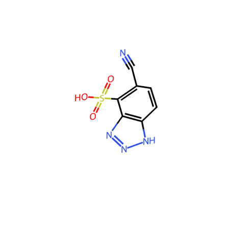 N#Cc1ccc2[nH]nnc2c1S(=O)(=O)O